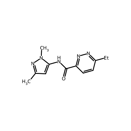 CCc1ccc(C(=O)Nc2cc(C)nn2C)nn1